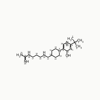 CC(C)(C)C1=NC(O)C(N2CCC(CNCCCNC(=N)N)CC2)=CN1